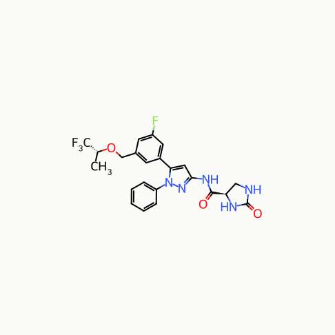 C[C@@H](OCc1cc(F)cc(-c2cc(NC(=O)[C@H]3CNC(=O)N3)nn2-c2ccccc2)c1)C(F)(F)F